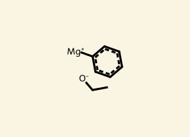 CC[O-].[Mg+][c]1ccccc1